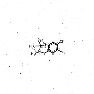 CN(Cc1ccc(Cl)c(F)c1)C(C)(C)C